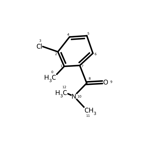 Cc1c(Cl)cccc1C(=O)N(C)C